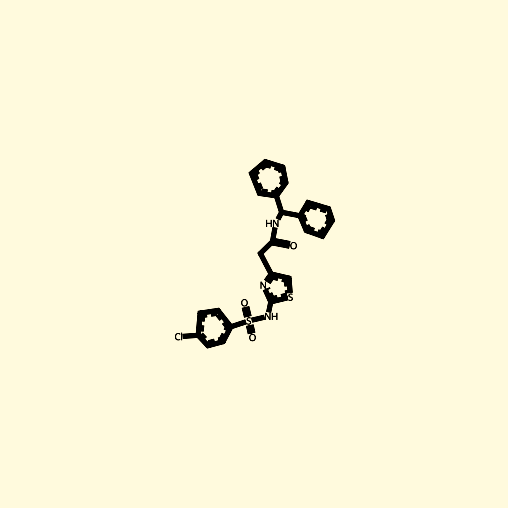 O=C(Cc1csc(NS(=O)(=O)c2ccc(Cl)cc2)n1)NC(c1ccccc1)c1ccccc1